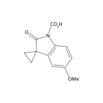 COc1ccc2c(c1)C1(CC1)C(=O)N2C(=O)O